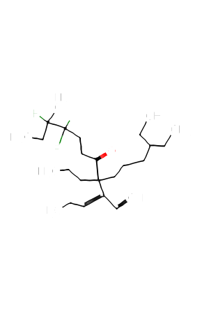 C=C/C(=C/CC)C(CCC)(CCCC(CC)CC)C(=O)CCC(F)(F)C(C)(F)CC